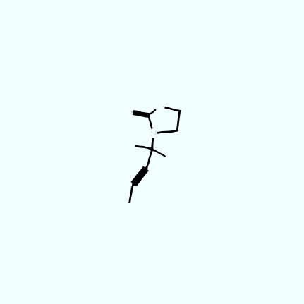 CC#CC(C)(C)N1CCOC1=O